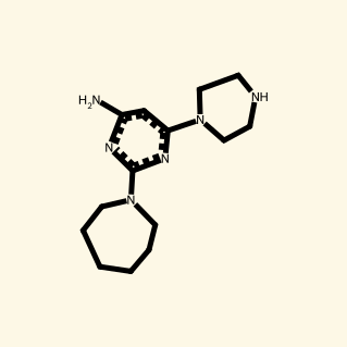 Nc1cc(N2CCNCC2)nc(N2CCCCCC2)n1